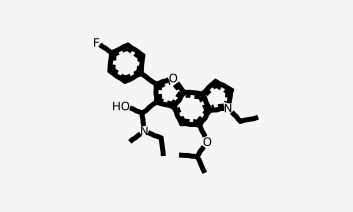 CCN(C)C(O)c1c(-c2ccc(F)cc2)oc2c1cc(OC(C)C)c1c2ccn1CC